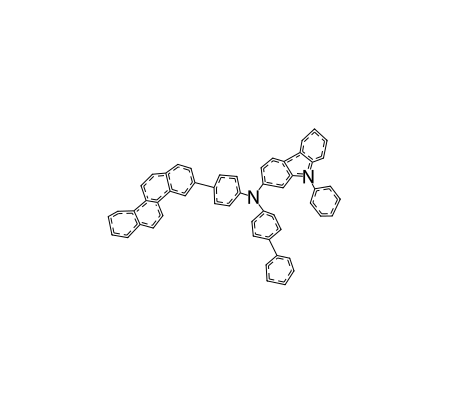 c1ccc(-c2ccc(N(c3ccc(-c4ccc5ccc6c7ccccc7ccc6c5c4)cc3)c3ccc4c5ccccc5n(-c5ccccc5)c4c3)cc2)cc1